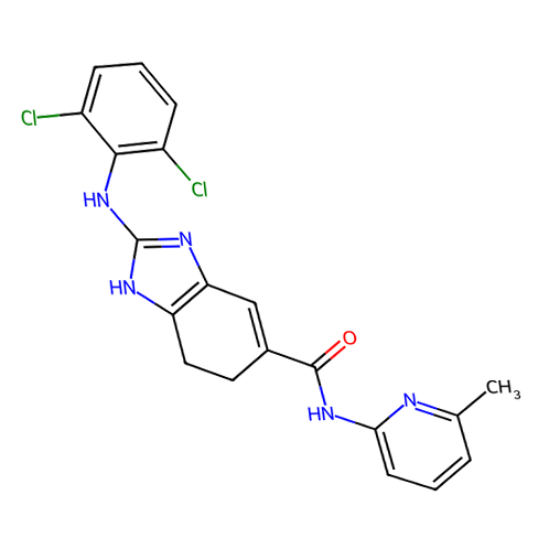 Cc1cccc(NC(=O)C2=Cc3nc(Nc4c(Cl)cccc4Cl)[nH]c3CC2)n1